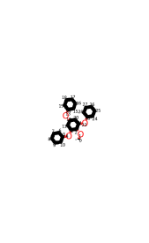 [CH2]Oc1c(Oc2ccccc2)cc(Oc2ccccc2)cc1Oc1ccccc1